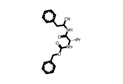 CC(C)[C@H](NC(=O)OCc1ccccc1)C(=O)NC(C#N)Cc1ccccc1